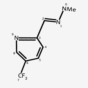 CNN=Cc1ccc(C(F)(F)F)cn1